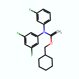 C=C(OCC1CCCCC1)N(c1cccc(F)c1)c1cc(F)cc(F)c1